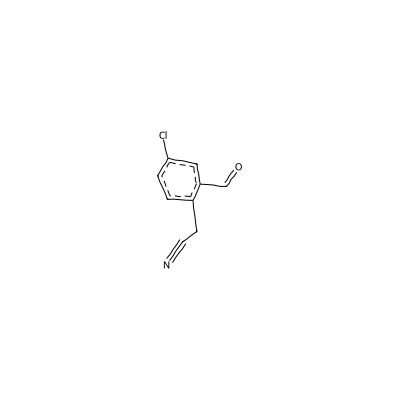 N#CCc1ccc(Cl)cc1C=O